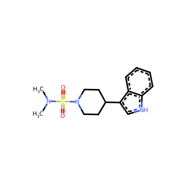 CN(C)S(=O)(=O)N1CCC(c2c[nH]c3ccccc23)CC1